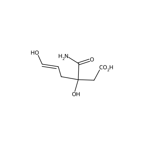 NC(=O)C(O)(CC=CO)CC(=O)O